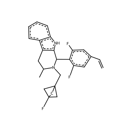 C=Cc1cc(F)c(C2c3[nH]c4ccccc4c3CC(C)N2CC23CC(F)(C2)C3)c(F)c1